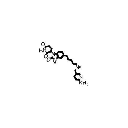 CN(CCCCCc1ccc2c(c1)n(C)c(=O)n2C1CCC(=O)NC1=O)Cc1ccc(N)nc1